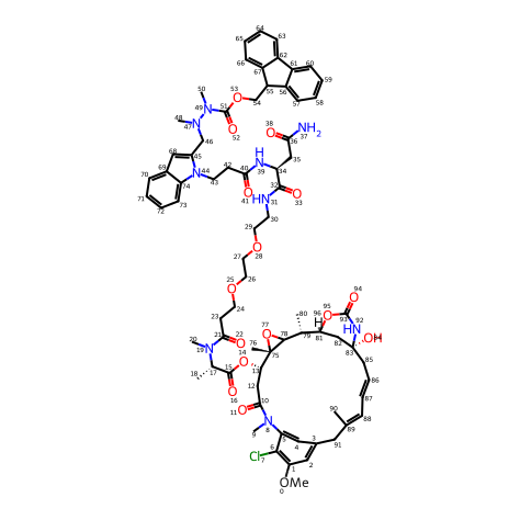 COc1cc2cc(c1Cl)N(C)C(=O)C[C@H](OC(=O)[C@H](C)N(C)C(=O)CCOCCOCCNC(=O)[C@H](CC(N)=O)NC(=O)CCn1c(CN(C)N(C)C(=O)OCC3c4ccccc4-c4ccccc43)cc3ccccc31)[C@]1(C)OC1[C@H](C)[C@@H]1C[C@](O)(C/C=C/C=C(\C)C2)NC(=O)O1